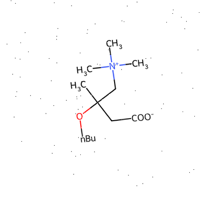 CCCCOC(C)(CC(=O)[O-])C[N+](C)(C)C